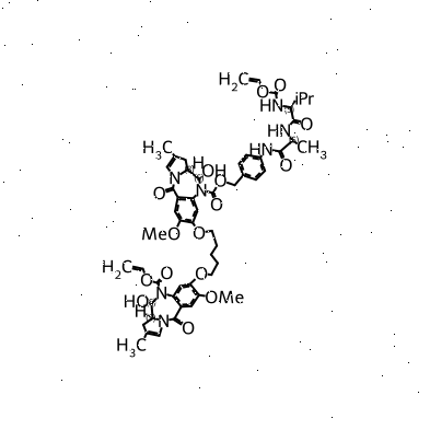 C=COC(=O)N[C@H](C(=O)N[C@@H](C)C(=O)Nc1ccc(COC(=O)N2c3cc(OCCCCCOc4cc5c(cc4OC)C(=O)N4C=C(C)C[C@H]4[C@H](O)N5C(=O)OC=C)c(OC)cc3C(=O)N3C=C(C)C[C@H]3[C@@H]2O)cc1)C(C)C